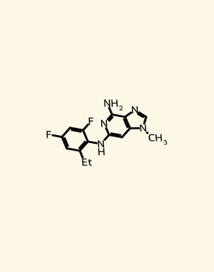 CCc1cc(F)cc(F)c1Nc1cc2c(ncn2C)c(N)n1